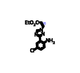 CCOC(=O)/C=C\n1cnc(-c2cc(Cl)ccc2N)n1